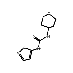 O=C(Nc1ccno1)NC1CCOCC1